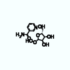 NC(=O)c1cccnc1.OC[C@H]1OC(OO)[C@H](O)[C@@H]1O